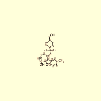 OCC1CCC(C(F)(F)CN2CCNC(O)c3oc4ccc(C(F)(F)F)cc4c32)CC1